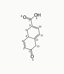 O=C1C=CC2CC(C(=O)O)=CC=C2C1